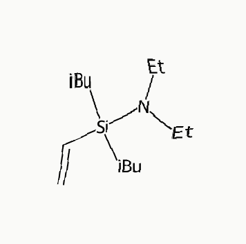 C=C[Si](C(C)CC)(C(C)CC)N(CC)CC